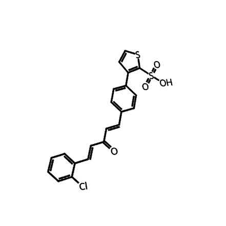 O=C(/C=C/c1ccc(-c2ccsc2S(=O)(=O)O)cc1)/C=C/c1ccccc1Cl